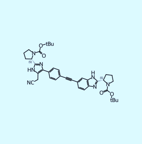 CC(C)(C)OC(=O)N1CCC[C@H]1c1nc(-c2ccc(C#Cc3ccc4nc([C@@H]5CCCN5C(=O)OC(C)(C)C)[nH]c4c3)cc2)c(CC#N)[nH]1